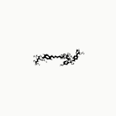 Cc1ncsc1-c1ccc(CNC(=O)[C@@H]2C[C@@H](O)CN2C(=O)[C@@H](NC(=O)CCCCCCc2ccc(CO[C@H](C)[C@@H](N)CCC(N)=O)cc2)C(C)(C)C)cc1